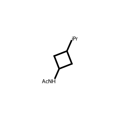 CC(=O)NC1CC(C(C)C)C1